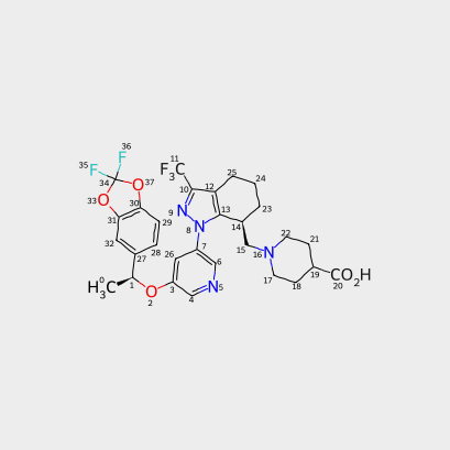 C[C@H](Oc1cncc(-n2nc(C(F)(F)F)c3c2[C@H](CN2CCC(C(=O)O)CC2)CCC3)c1)c1ccc2c(c1)OC(F)(F)O2